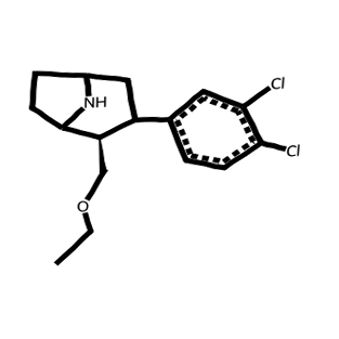 CCOC[C@H]1C2CCC(CC1c1ccc(Cl)c(Cl)c1)N2